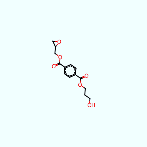 O=C(OCCCO)c1ccc(C(=O)OCC2CO2)cc1